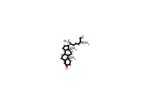 CC(CCC[C@H](C)C=O)[C@H]1CCC2C3CCC4=CC(=O)CC[C@]4(C)C3CC[C@@]21C